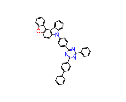 c1ccc(-c2ccc(-c3nc(-c4ccccc4)nc(-c4ccc(-n5c6ccccc6c6c7c(ccc65)oc5ccccc57)cc4)n3)cc2)cc1